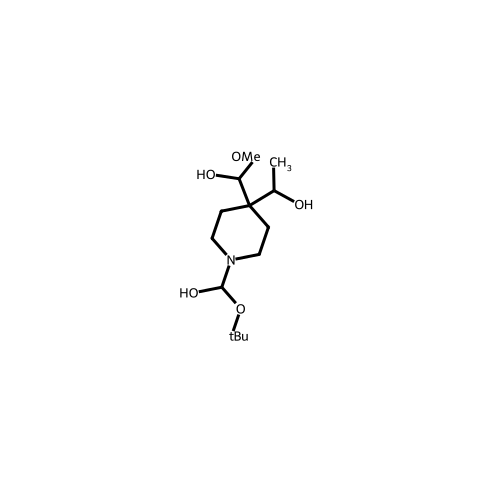 COC(O)C1(C(C)O)CCN(C(O)OC(C)(C)C)CC1